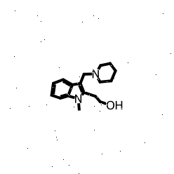 Cn1c(CCO)c(CN2CCCCC2)c2ccccc21